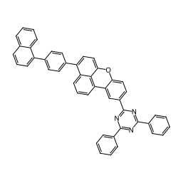 c1ccc(-c2nc(-c3ccccc3)nc(-c3ccc4c(c3)-c3cccc5c(-c6ccc(-c7cccc8ccccc78)cc6)ccc(c35)O4)n2)cc1